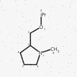 CC(C)OCC1CCCN1C